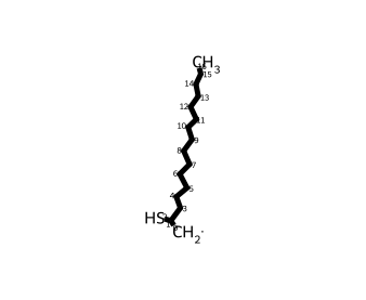 [CH2]C(S)CCCCCCCCCCCCCC